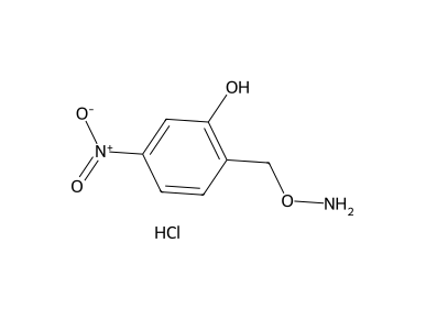 Cl.NOCc1ccc([N+](=O)[O-])cc1O